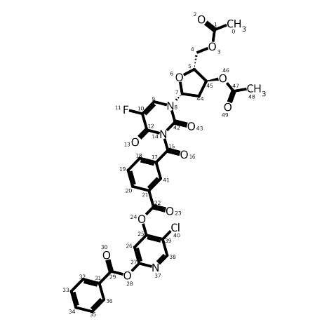 CC(=O)OC[C@H]1O[C@@H](n2cc(F)c(=O)n(C(=O)c3cccc(C(=O)Oc4cc(OC(=O)c5ccccc5)ncc4Cl)c3)c2=O)C[C@@H]1OC(C)=O